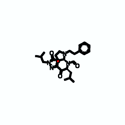 CC(C)C[C@@H](C(=O)c1nn(CC(C)C)c(=O)o1)N(C=O)[C@H]1CCCN1CCc1ccccc1